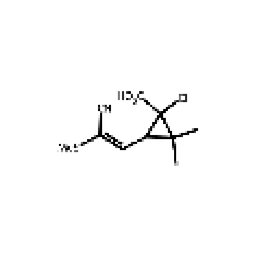 CS/C(C#N)=C/C1C(C)(C)C1(Cl)C(=O)O